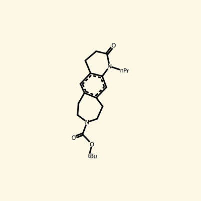 CCCN1C(=O)CCc2cc3c(cc21)CCN(C(=O)OC(C)(C)C)CC3